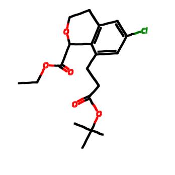 CCOC(=O)C1OCCc2cc(Cl)cc(CCC(=O)OC(C)(C)C)c21